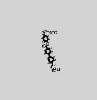 CCCCCCCOc1ccc(OC(=O)c2ccc(-c3ccc(CC[C@@H](C)CC)cc3)cc2)cc1